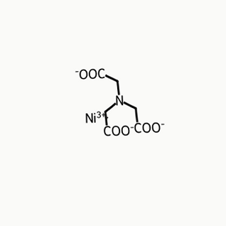 O=C([O-])CN(CC(=O)[O-])CC(=O)[O-].[Ni+3]